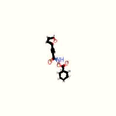 O=C(C#Cc1ccco1)NOC(=O)C1CCCCC1